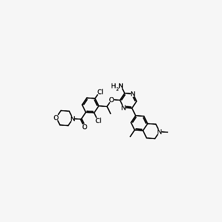 Cc1cc(-c2cnc(N)c(OC(C)c3c(Cl)ccc(C(=O)N4CCOCC4)c3Cl)n2)cc2c1CCN(C)C2